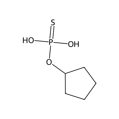 OP(O)(=S)OC1CCCC1